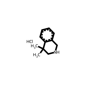 CC1(C)CNCc2ccccc21.Cl